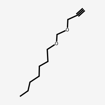 C#CCOCOCCCCCCC